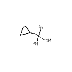 [2H]C([2H])(O)C1CC1